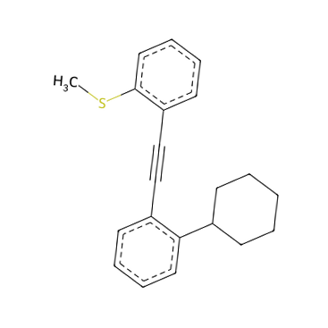 CSc1ccccc1C#Cc1ccccc1C1CCCCC1